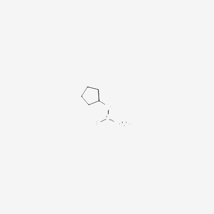 CON(F)OC1CCCC1